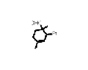 CCC1C=C(C)CCC1(C)C=O